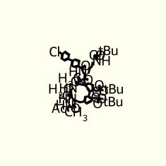 CC(=O)[C@H](C)NC(=O)[C@@H]1Cc2ccc(OC(=O)OC(C)(C)C)c(c2)-c2cc(ccc2OC(=O)OC(C)(C)C)[C@H](N(C)C(=O)[C@H](CCCCNC(=O)OC(C)(C)C)NC(=O)c2ccc(-c3ccc(Cl)cc3)cc2)C(=O)N[C@@H](C)C(=O)N1